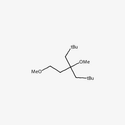 COCCC(CC(C)(C)C)(CC(C)(C)C)OC